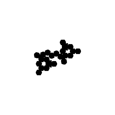 C1=CC(c2cc(-c3ccccc3)cc(-c3ccccc3)c2)CC(c2nc(-c3ccccc3)nc(-c3cccc(-c4cccc5c4c4cc(-c6cccc(-c7cccc(-c8cccc(-c9ccc%10c(c9)c9c(-c%11cccc(-c%12nc(-c%13ccccc%13)nc(-c%13cccc(-c%14cc(-c%15ccccc%15)cc(-c%15ccccc%15)c%14)c%13)n%12)c%11)cccc9n%10-c9ccccc9)c8)c7)c6)ccc4n5-c4ccccc4)c3)n2)=C1